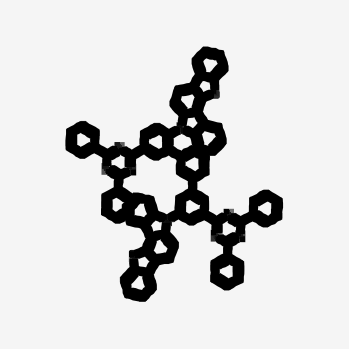 c1ccc(-c2nc(-c3ccccc3)nc(-c3cc(-c4cccc(-c5cc(-c6nc(-c7ccccc7)nc(-c7ccccc7)n6)ccc5-n5c6ccccc6c6c7sc8ccccc8c7ccc65)c4)cc(-n4c5ccccc5c5c6sc7ccccc7c6ccc54)c3)n2)cc1